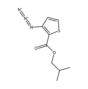 CC(C)COC(=O)c1sccc1N=[N+]=[N-]